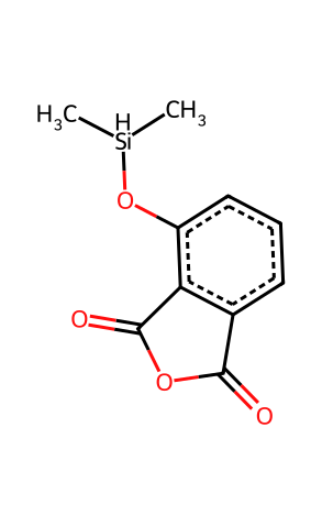 C[SiH](C)Oc1cccc2c1C(=O)OC2=O